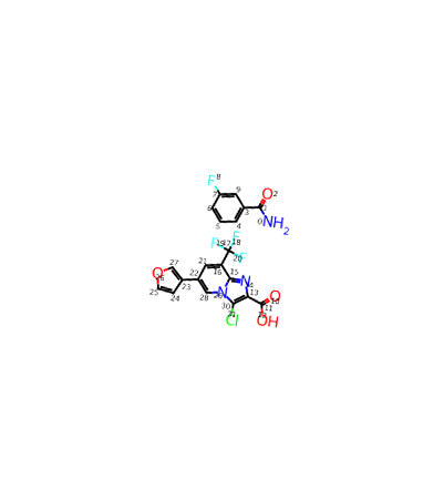 NC(=O)c1cccc(F)c1.O=C(O)c1nc2c(C(F)(F)F)cc(-c3ccoc3)cn2c1Cl